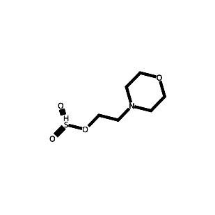 O=[SH](=O)OCCN1CCOCC1